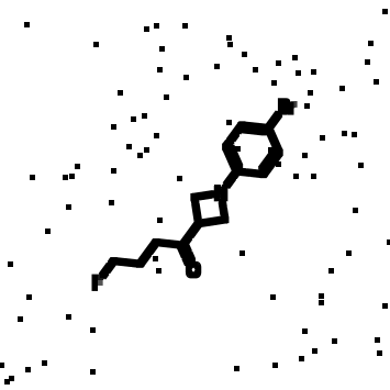 O=C(CCCF)C1CN(c2ccc(Br)cc2)C1